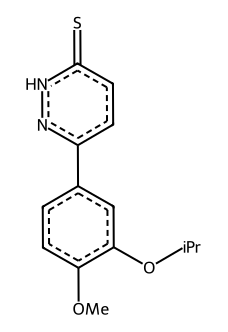 COc1ccc(-c2ccc(=S)[nH]n2)cc1OC(C)C